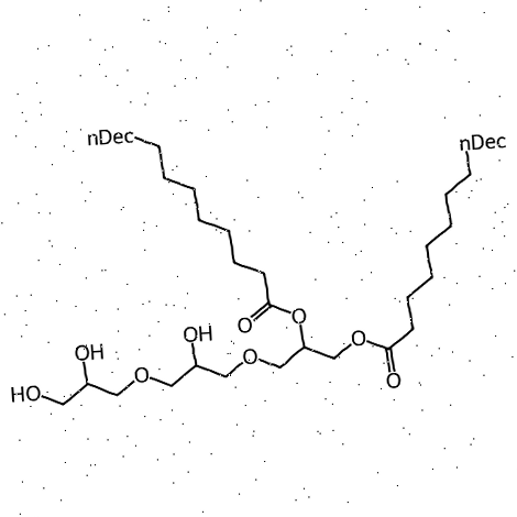 CCCCCCCCCCCCCCCCCC(=O)OCC(COCC(O)COCC(O)CO)OC(=O)CCCCCCCCCCCCCCCCC